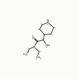 CCN(CC)C(=O)C(O)C1CCNCC1